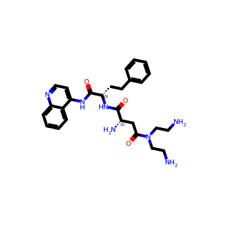 NCCN(CCN)C(=O)C[C@H](N)C(=O)N[C@@H](CCc1ccccc1)C(=O)Nc1ccnc2ccccc12